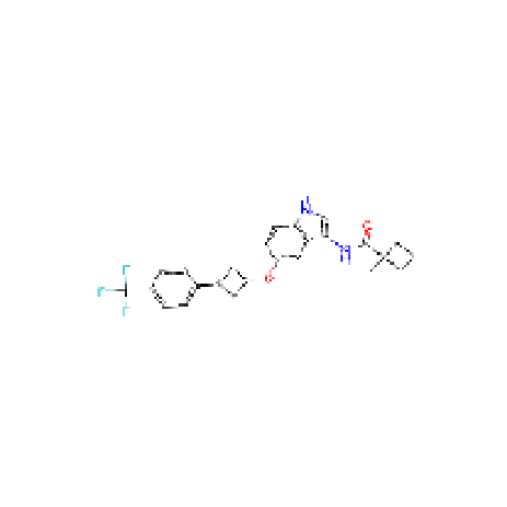 CC1(C(=O)Nc2c[nH]c3ccc(O[C@H]4C[C@H](c5ccc(C(F)(F)F)cc5)C4)cc23)CCC1